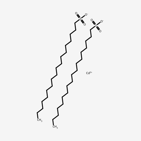 CCCCCCCCCCCCCCCCCCS(=O)(=O)[O-].CCCCCCCCCCCCCCCCCCS(=O)(=O)[O-].[Cd+2]